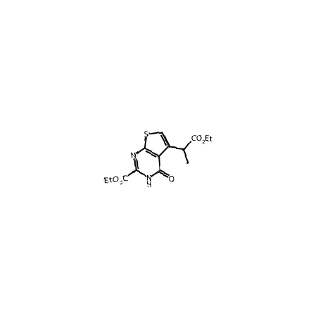 CCOC(=O)c1nc2scc(C(C)C(=O)OCC)c2c(=O)[nH]1